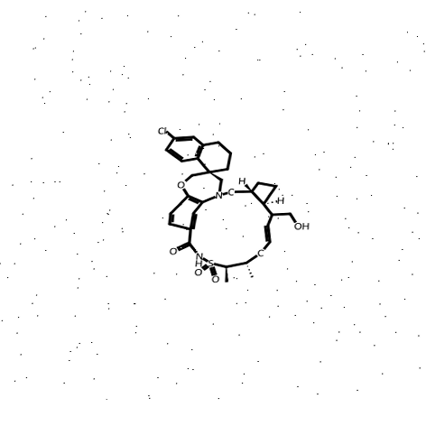 C[C@@H]1[C@@H](C)C/C=C/C(CO)[C@@H]2CC[C@H]2CN2C[C@@]3(CCCc4cc(Cl)ccc43)COc3ccc(cc32)C(=O)NS1(=O)=O